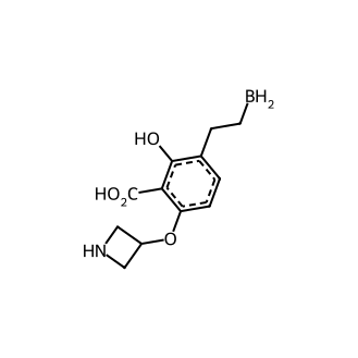 BCCc1ccc(OC2CNC2)c(C(=O)O)c1O